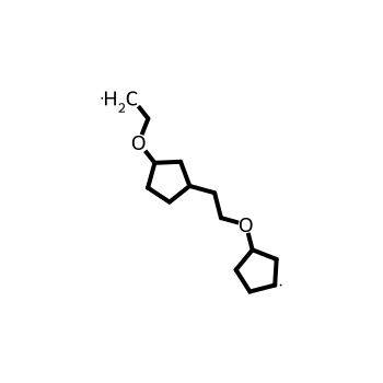 [CH2]COC1CCC(CCOC2C[CH]CC2)C1